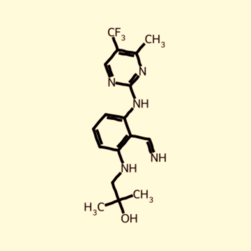 Cc1nc(Nc2cccc(NCC(C)(C)O)c2C=N)ncc1C(F)(F)F